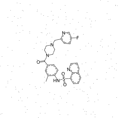 Cc1cc(C(=O)N2CCN(Cc3ccc(F)cn3)CC2)ccc1NS(=O)(=O)c1cccc2cccnc12